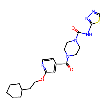 O=C(Nc1nncs1)N1CCN(C(=O)c2ccnc(OCCC3CCCCC3)c2)CC1